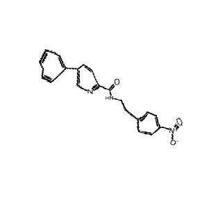 O=C(NCCc1ccc([N+](=O)[O-])cc1)c1ccc(-c2ccccc2)cn1